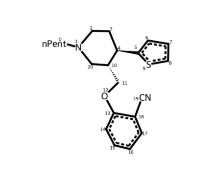 CCCCCN1CC[C@@H](c2cccs2)[C@H](COc2ccccc2C#N)C1